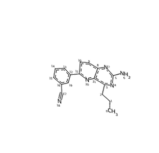 CCCc1nc(N)nc2ccc(-c3cccc(C#N)c3)nc12